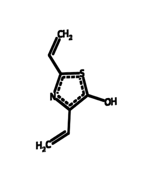 C=Cc1nc(C=C)c(O)s1